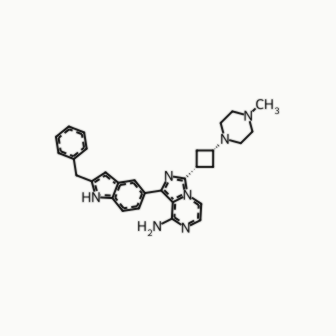 CN1CCN([C@H]2C[C@@H](c3nc(-c4ccc5[nH]c(Cc6ccccc6)cc5c4)c4c(N)nccn43)C2)CC1